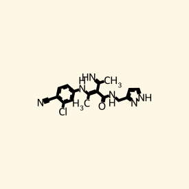 CC(=N)/C(C(=O)NCc1cc[nH]n1)=C(/C)Nc1ccc(C#N)c(Cl)c1